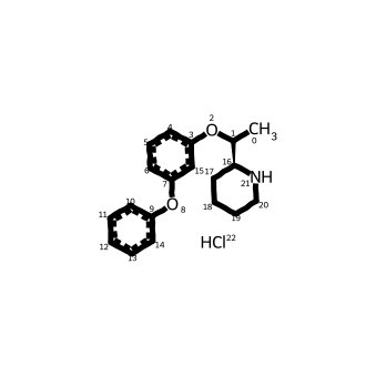 CC(Oc1cccc(Oc2ccccc2)c1)[C@@H]1CCCCN1.Cl